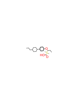 CCCC1CCC(c2ccc(OC(CC)S(C)(C)C(=O)O)cc2)CC1